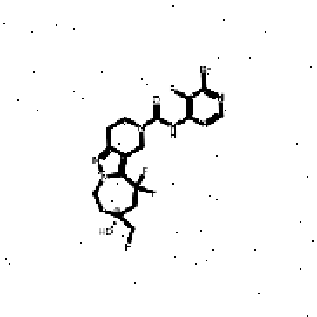 O=C(Nc1ccnc(Br)c1F)N1CCc2nn3c(c2C1)C(F)(F)C[C@@](O)(CF)CC3